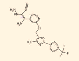 Cc1nc(-c2ccc(C(F)(F)F)cc2)sc1COc1cccc(/C(N)=C(\C#N)NN)c1